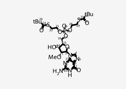 CO[C@H]1C(n2cnc3c(=O)[nH]c(N)nc32)O[C@H](COP(=O)(OCCSC(=O)C(C)(C)C)OCCSC(=O)C(C)(C)C)[C@H]1O